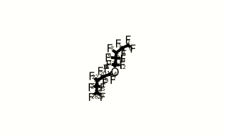 FC(F)C(F)(F)C(F)C(F)(F)C(F)(F)OC(F)(F)C(F)(F)C(F)C(F)(F)C(F)F